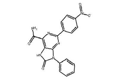 NC(=O)c1nc(-c2ccc([N+](=O)[O-])cc2)nc2c1[nH]c(=O)n2-c1ccccc1